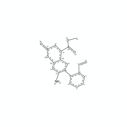 C=Cc1ccccc1-c1cc2c(C(=O)OC)cc(=O)oc2cc1N